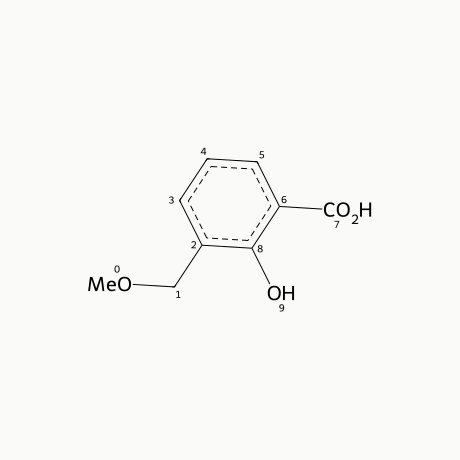 COCc1cccc(C(=O)O)c1O